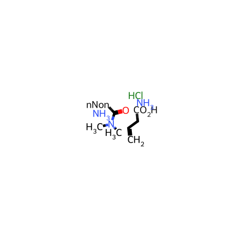 C=CCC(=O)O.CCCCCCCCCC(=O)N(C)C.Cl.N.N